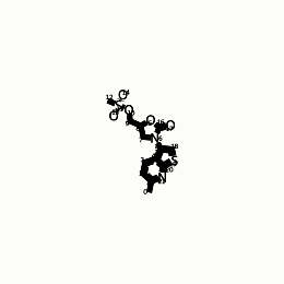 Cc1ccc2c(N3CC(COS(C)(=O)=O)OC3=O)csc2n1